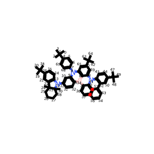 CC(C)(C)c1ccc(N2c3cc(N4c5ccc(C(C)(C)C)cc5C5(C)CCCCC45C)ccc3B3c4ccccc4N(c4ccc(C(C)(C)C)cc4-c4ccccc4)c4cc(C(C)(C)C)cc2c43)cc1